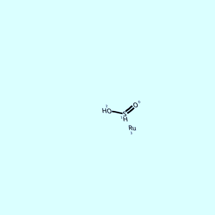 O=[SH]O.[Ru]